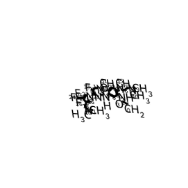 C=CC(=O)Nc1cc(Nc2ncc(F)c(-n3cc(CN(C)C)c(C(F)(F)F)c3)n2)c(OC)cc1N(C)CCN(C)C